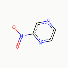 O=[N+]([O-])c1cnc[c]n1